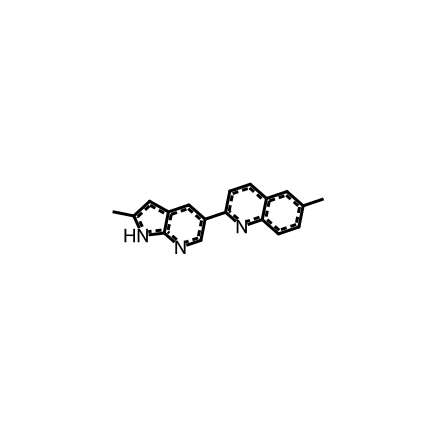 Cc1ccc2nc(-c3cnc4[nH]c(C)cc4c3)ccc2c1